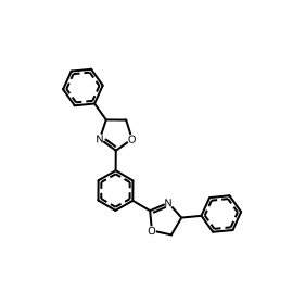 c1ccc(C2COC(c3cccc(C4=NC(c5ccccc5)CO4)c3)=N2)cc1